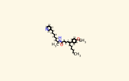 CCCCCC/C(=C\C=C\C(=O)N[C@H](C)CCCCCCc1cccnc1)c1ccc(OC)cc1